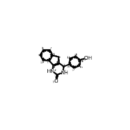 O=C1NC2=C(Cc3ccccc32)C(c2ccc(O)cc2)N1